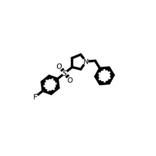 O=S(=O)(c1ccc(F)cc1)C1CCN(Cc2ccccc2)C1